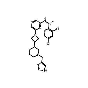 C[C@@H](Nc1cncc(N2CC([C@@H]3CCCN(Cc4c[nH]cn4)C3)C2)n1)c1ccc(Cl)cc1Cl